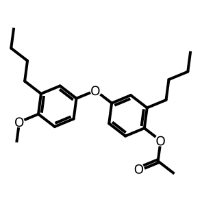 CCCCc1cc(Oc2ccc(OC(C)=O)c(CCCC)c2)ccc1OC